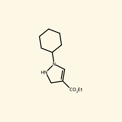 CCOC(=O)C1=CN(C2CCCCC2)NC1